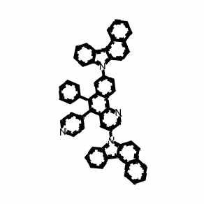 c1ccc(-c2c(-c3ccncc3)c3cc(-n4c5ccccc5c5c6ccccc6ccc54)cnc3c3ccc(-n4c5ccccc5c5c6ccccc6ccc54)cc23)cc1